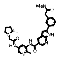 CNC(=O)Cc1cccc(-c2cc3cc(C(=O)Nc4cc(NC(=O)CN5CCC[C@@H]5C)cnc4C)cnc3[nH]2)c1